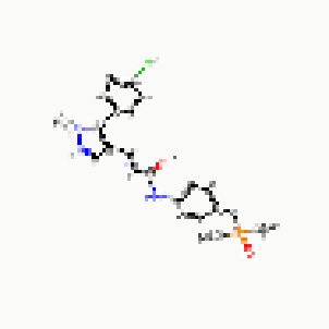 COP(=O)(Cc1ccc(NC(=O)/C=C/c2cnn(C)c2-c2ccc(Cl)cc2)cc1)OC